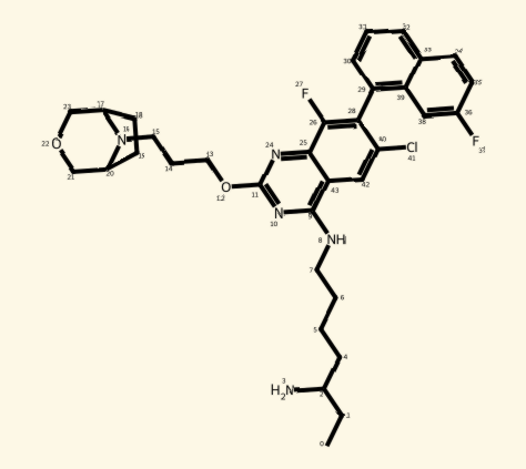 CCC(N)CCCCNc1nc(OCCCN2C3CCC2COC3)nc2c(F)c(-c3cccc4ccc(F)cc34)c(Cl)cc12